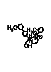 Cc1cccc(-c2ccc([C@@H]3C(CO)N4C/C=C\CN(S(=O)(=O)c5ccccc5C)C[C@@H]34)cc2)c1